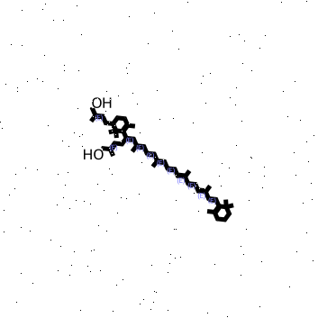 CC1=C(/C=C/C(C)=C/C=C/C(C)=C/C=C/C=C(C)/C=C/C=C(C)/C=C(\C/C=C(\C)CO)C2=C(C)CCC(C/C=C(\C)CO)C2(C)C)C(C)(C)CCC1